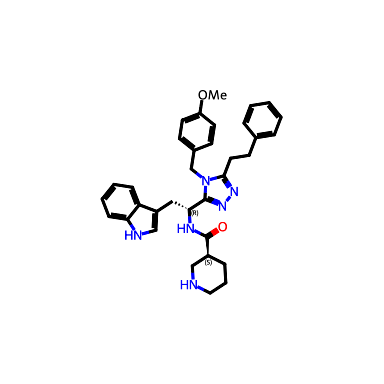 COc1ccc(Cn2c(CCc3ccccc3)nnc2[C@@H](Cc2c[nH]c3ccccc23)NC(=O)[C@H]2CCCNC2)cc1